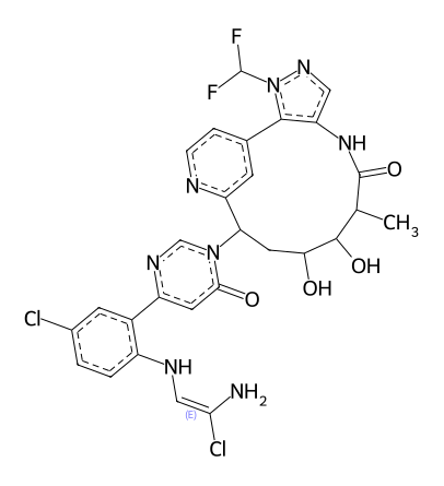 CC1C(=O)Nc2cnn(C(F)F)c2-c2ccnc(c2)C(n2cnc(-c3cc(Cl)ccc3N/C=C(\N)Cl)cc2=O)CC(O)C1O